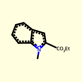 CCOC(=O)c1cc2ccccc2n1C